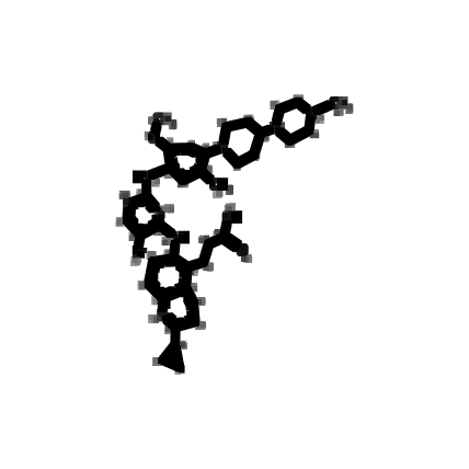 COc1cc(N2CCC(N3CCN(C)CC3)CC2)c(C)cc1Nc1ncc(Br)c(Nc2ccc3nc(C4CC4)ccc3c2CCC(=O)O)n1